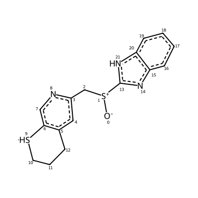 [O-][S+](Cc1cc2c(cn1)[SH]CCC2)c1nc2ccccc2[nH]1